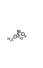 Cc1ccc2[nH]c(-c3cc(F)ccc3Cl)c(C=O)c2c1